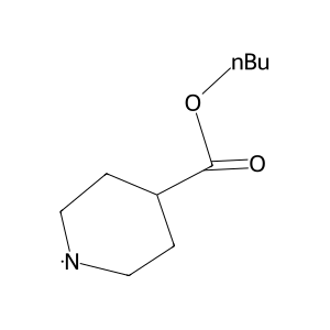 CCCCOC(=O)C1CC[N]CC1